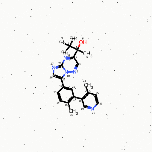 [2H]C([2H])([2H])C(C)(O)c1cnn2c(-c3ccc(C)c(-c4cnccc4C)c3)cnc2n1